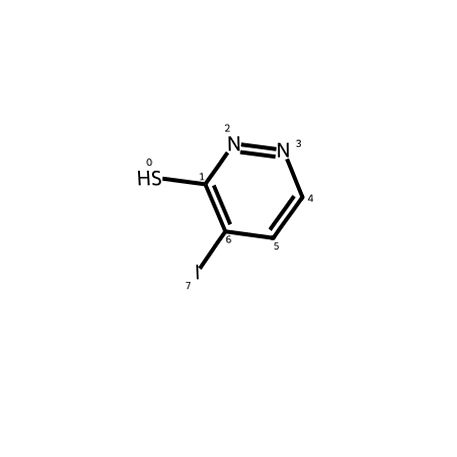 Sc1nnccc1I